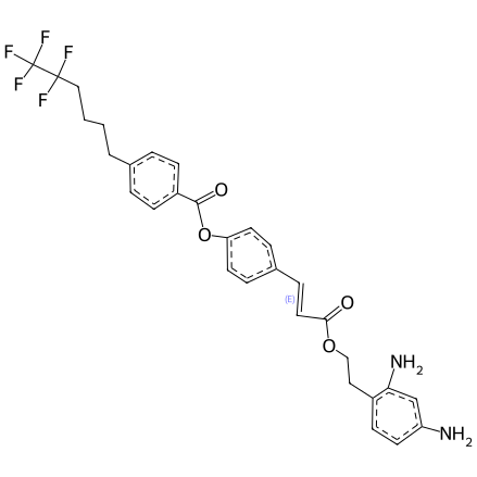 Nc1ccc(CCOC(=O)/C=C/c2ccc(OC(=O)c3ccc(CCCCC(F)(F)C(F)(F)F)cc3)cc2)c(N)c1